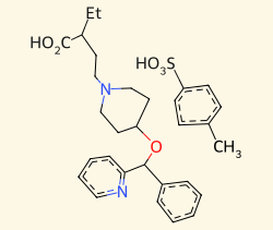 CCC(CCN1CCC(OC(c2ccccc2)c2ccccn2)CC1)C(=O)O.Cc1ccc(S(=O)(=O)O)cc1